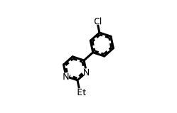 CCc1nccc(-c2cccc(Cl)c2)n1